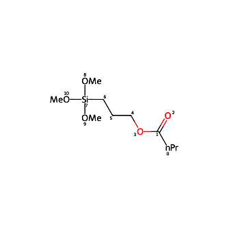 [CH2]CCC(=O)OCCC[Si](OC)(OC)OC